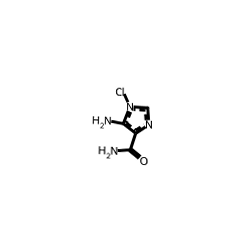 NC(=O)c1ncn(Cl)c1N